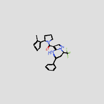 Cc1ccccc1C1CCCN1C(=O)c1cnn2c1NC(c1ccccc1)CC2C(F)(F)F